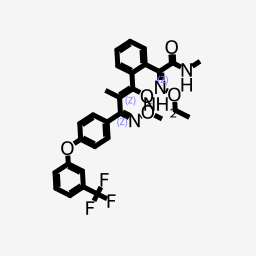 CCO/N=C(\C(=O)NC)c1ccccc1/C(ON)=C(C)/C(=N\OC)c1ccc(Oc2cccc(C(F)(F)F)c2)cc1